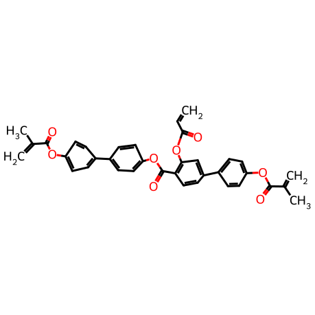 C=CC(=O)Oc1cc(-c2ccc(OC(=O)C(=C)C)cc2)ccc1C(=O)Oc1ccc(-c2ccc(OC(=O)C(=C)C)cc2)cc1